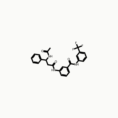 CC(=O)NC(CC(=O)Nc1cccc(C(=O)Nc2cccc(C(F)(F)F)c2)c1)c1ccccc1